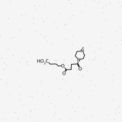 CN1CCN(C(=O)CCC(=O)OCCCC(=O)O)CC1